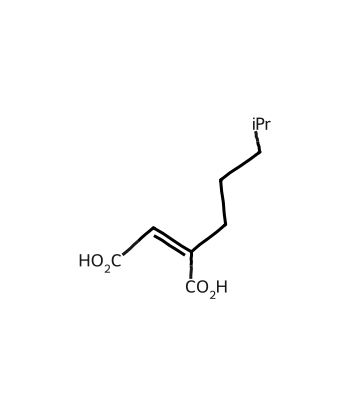 CC(C)CCCC(=CC(=O)O)C(=O)O